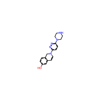 Oc1ccc2c(c1)C=CN(c1ccc(N3CCNCC3)nn1)C2